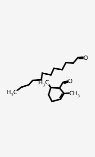 CC1=CCCC(C)C1C=O.CCCCCCCCCCCC=O